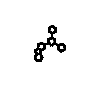 c1ccc(-c2cc(-c3ccccc3)nc(-c3ccc4oc5ccccc5c4c3)n2)cc1